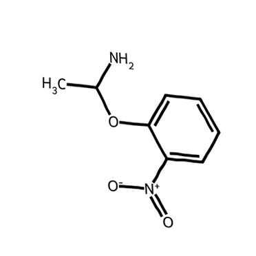 CC(N)Oc1ccccc1[N+](=O)[O-]